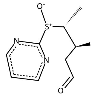 C[C@H]([C@@H](C)CC=O)[S+]([O-])c1ncccn1